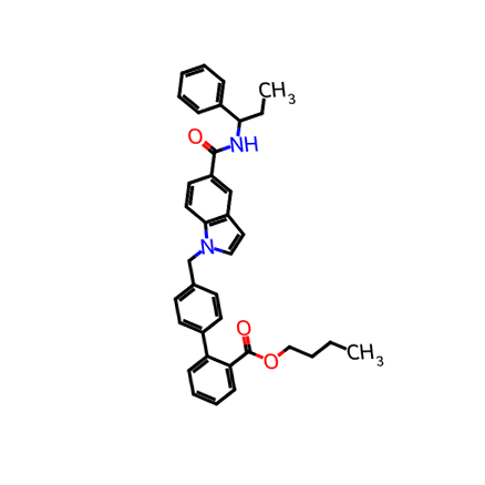 CCCCOC(=O)c1ccccc1-c1ccc(Cn2ccc3cc(C(=O)NC(CC)c4ccccc4)ccc32)cc1